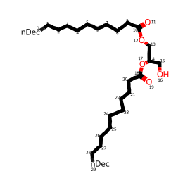 CCCCCCCCCCCCCCCCCCCC(=O)OCC(CO)OC(=O)CCCCCCCCCCCCCCCCCCC